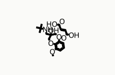 COc1cccc2c1OCC(O)(CNC(C)(C)C)CO2.O=C(O)C=CC(=O)O